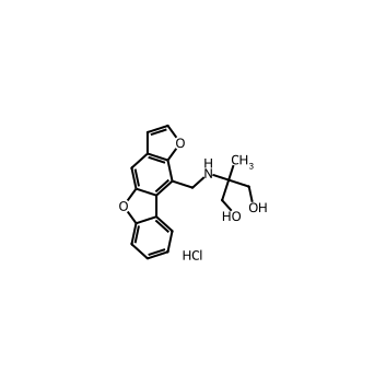 CC(CO)(CO)NCc1c2occc2cc2oc3ccccc3c12.Cl